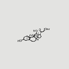 C[C@]12CCC(O)CC1CC[C@@H]1[C@@H]2CC(O)[C@]2(C)[C@@H](C(=O)CO)CC[C@]12O